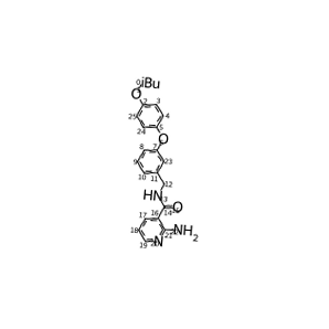 CCC(C)Oc1ccc(Oc2cccc(CNC(=O)c3cccnc3N)c2)cc1